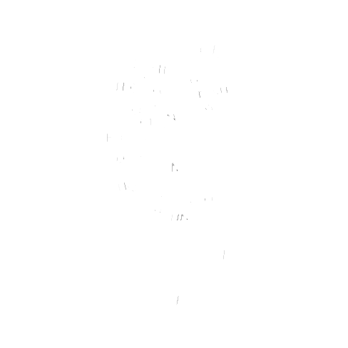 CCOP(C)(=O)CCN(C(=O)OC(C)(C)C)C1Cn2cc(C(=O)NCc3ccc(F)cc3F)c(=O)c(O)c2C(=O)C1(C)C